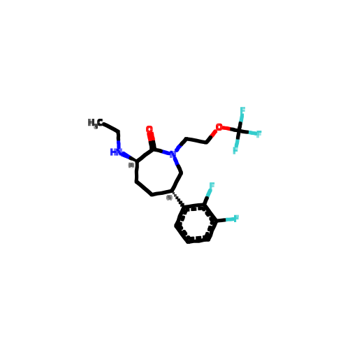 CCN[C@@H]1CC[C@@H](c2cccc(F)c2F)CN(CCOC(F)(F)F)C1=O